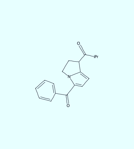 CC(C)C(=O)C1CCn2c(C(=O)c3ccccc3)ccc21